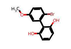 COc1ccc(Br)c(-c2c(O)cccc2O)c1